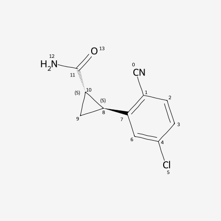 N#Cc1ccc(Cl)cc1[C@H]1C[C@@H]1C(N)=O